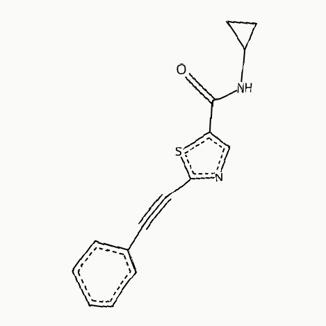 O=C(NC1CC1)c1cnc(C#Cc2ccccc2)s1